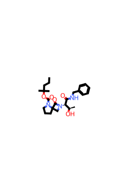 CCCC(C)(C)OC(=O)N1CCCC12CN([C@H](C(=O)NCc1ccccc1)[C@@H](C)O)C2=O